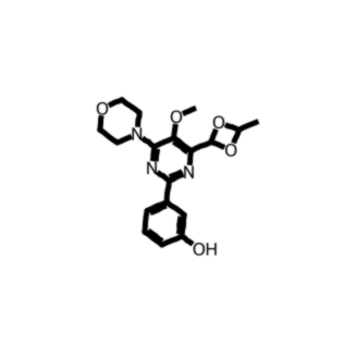 COc1c(C2OC(C)O2)nc(-c2cccc(O)c2)nc1N1CCOCC1